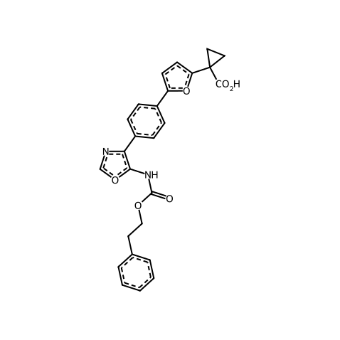 O=C(Nc1ocnc1-c1ccc(-c2ccc(C3(C(=O)O)CC3)o2)cc1)OCCc1ccccc1